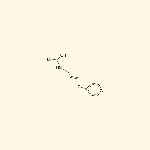 CCC(O)NCC=COc1ccccc1